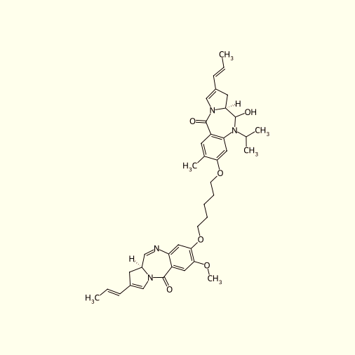 C/C=C/C1=CN2C(=O)c3cc(OC)c(OCCCCCOc4cc5c(cc4C)C(=O)N4C=C(/C=C/C)C[C@H]4C(O)N5C(C)C)cc3N=C[C@@H]2C1